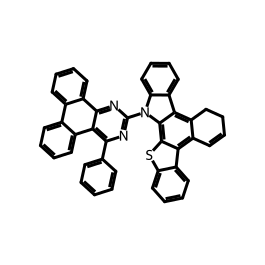 C1=Cc2c(c3c4ccccc4n(-c4nc(-c5ccccc5)c5c6ccccc6c6ccccc6c5n4)c3c3sc4ccccc4c23)CC1